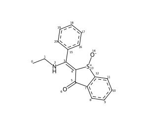 CCN/C(=C1\C(=O)c2ccccc2[S+]1[O-])c1ccccc1